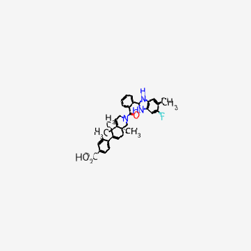 Cc1cc2c(cc1F)NC(c1ccccc1C(=O)N1CC=C3C(C)(C)C(c4ccc(C(=O)O)cc4)=CC[C@]3(C)C1)N2